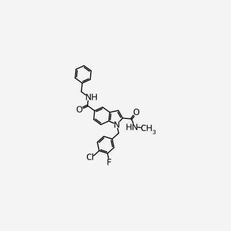 CNC(=O)c1cc2cc(C(=O)NCc3ccccc3)ccc2n1Cc1ccc(Cl)c(F)c1